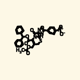 CC(=O)OCC1=C(C(=O)OC(c2ccccc2)c2ccccc2)N2C(=O)[C@](N=O)(N=Cc3ccc([N+](=O)[O-])cc3)[C@H]2SC1